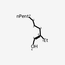 CCCCCCCCC(=CO)CC